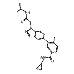 Cc1ccc(C(=O)NC2CC2)cc1-c1ccc2c(cnn2CC(=O)NC(C)C)c1